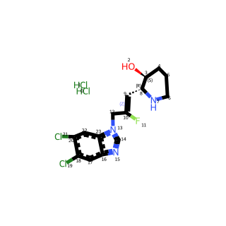 Cl.Cl.O[C@H]1CCCN[C@@H]1/C=C(\F)Cn1cnc2cc(Cl)c(Cl)cc21